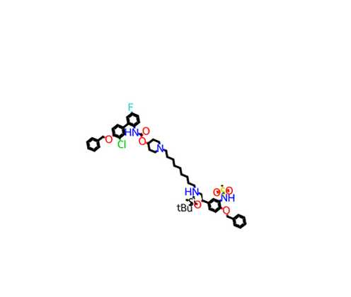 CC(C)(C)[Si](C)(C)O[C@@H](CNCCCCCCCCCN1CCC(OC(=O)Nc2ccc(F)cc2-c2ccc(OCc3ccccc3)c(Cl)c2)CC1)c1ccc(OCc2ccccc2)c(NS(C)(=O)=O)c1